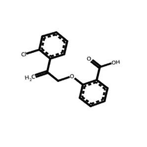 C=C(COc1ccccc1C(=O)O)c1ccccc1Cl